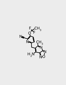 Cc1nc2nonc2c(N)c1Cc1ccc(OC(C)(F)F)c(C#N)n1